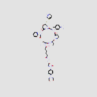 CCC1NC(=O)[C@@H](NC(=O)CCCCC(=O)NC[C@H]2CN(c3ccc(N4CCOCC4)c(F)c3)C(=O)O2)[C@@H](C)OC(=O)[C@H](c2ccccc2)NC(=O)[C@@H]2CC(=O)[C@H](CSC3CN4CCC3CC4)CN2C(=O)[C@H](Cc2ccc(N(C)C)cc2)N(C)C(=O)[C@@H]2CCCN2C1=O